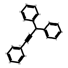 C(#CC(c1ccccc1)c1ccccc1)c1ccccc1